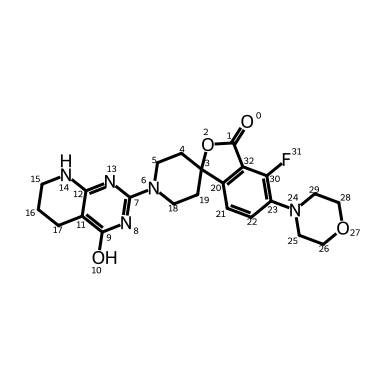 O=C1OC2(CCN(c3nc(O)c4c(n3)NCCC4)CC2)c2ccc(N3CCOCC3)c(F)c21